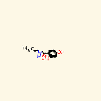 CCCNCC(O)c1ccc(O)cc1